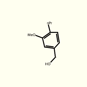 CCCc1ccc([CH]O)cc1OC